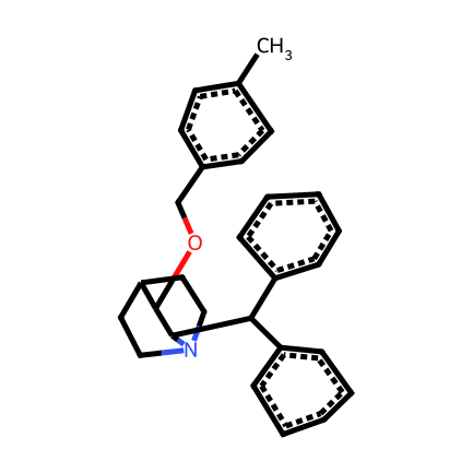 Cc1ccc(COC2C3CCN(CC3)C2C(c2ccccc2)c2ccccc2)cc1